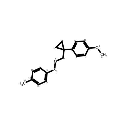 COc1ccc(C2(COSc3ccc(C)cc3)CC2)cc1